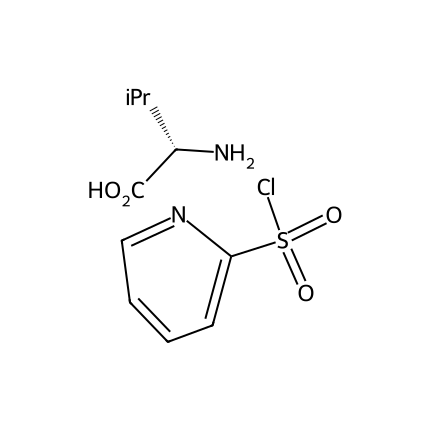 CC(C)[C@H](N)C(=O)O.O=S(=O)(Cl)c1ccccn1